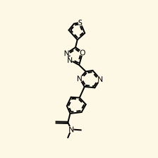 C=C(c1ccc(-c2cncc(-c3nnc(-c4ccsc4)o3)n2)cc1)N(C)C